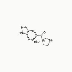 CCCC[C@@]1(C(=O)c2ccc3[nH]ncc3c2)CCNC1